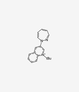 CC(C)(C)[n+]1cc(N2C=CC=CC=N2)cc2ccccc21